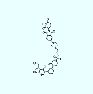 CCc1c[nH]c2ncc(-c3cccc(N4CCN(S(=O)(=O)CCCN5CCN(c6ccc7c(c6)C(=O)N(C6CCC(=O)NC6=O)C7=O)CC5)CC4=O)c3)c(Cl)c12